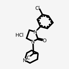 Cl.O=C1N(c2cccc(Cl)c2)CCN1C1CN2CCC1CC2